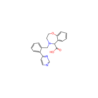 O=C(O)C1c2ccccc2OCCN1Cc1ccccc1-c1ccncn1